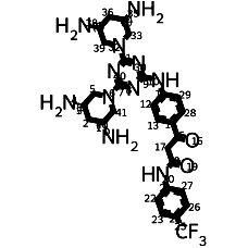 N[C@@H]1C[C@H](N)CN(c2nc(Nc3ccc(C(=O)CC(=O)Nc4ccc(C(F)(F)F)cc4)cc3)nc(N3C[C@H](N)C[C@H](N)C3)n2)C1